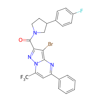 O=C(c1nn2c(C(F)(F)F)cc(-c3ccccc3)nc2c1Br)N1CCC(c2ccc(F)cc2)C1